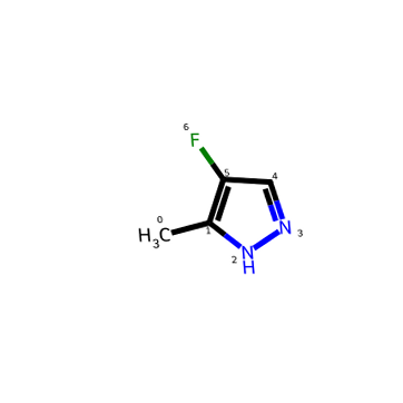 Cc1[nH]ncc1F